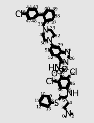 CN(C)CC[C@H](CSc1ccccc1)Nc1cc(Cl)c(S(=O)(=O)Nc2ncnc3cc(N4CCN(Cc5ccccc5-c5ccc(Cl)cc5)CC4)ccc23)c(Cl)c1